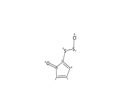 O=C1C=CC=C1SSCl